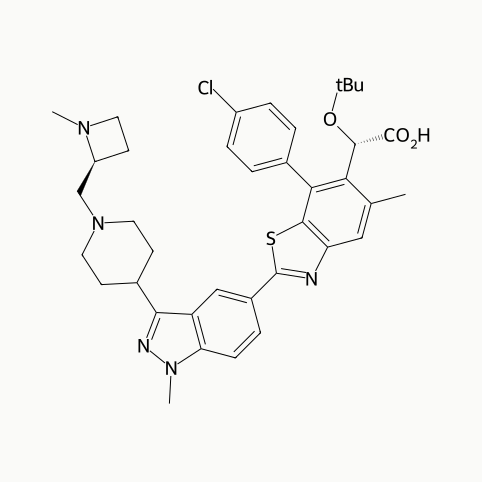 Cc1cc2nc(-c3ccc4c(c3)c(C3CCN(C[C@@H]5CCN5C)CC3)nn4C)sc2c(-c2ccc(Cl)cc2)c1[C@H](OC(C)(C)C)C(=O)O